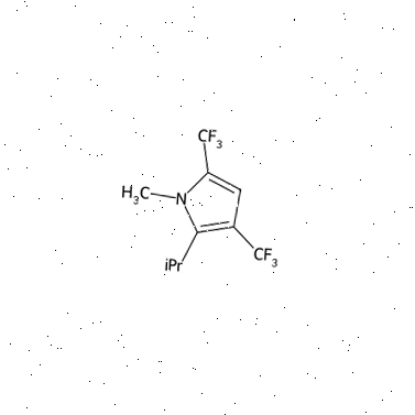 CC(C)c1c(C(F)(F)F)cc(C(F)(F)F)n1C